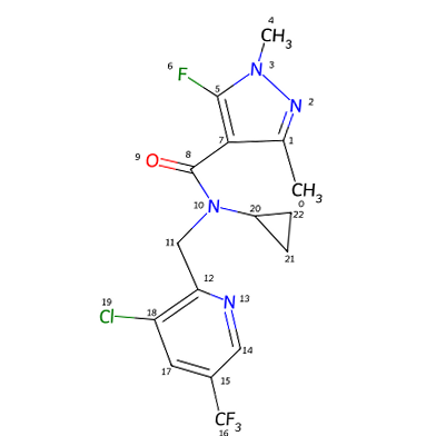 Cc1nn(C)c(F)c1C(=O)N(Cc1ncc(C(F)(F)F)cc1Cl)C1CC1